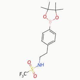 CC1(C)OB(c2ccc(CCNS(=O)(=O)C(F)(F)F)cc2)OC1(C)C